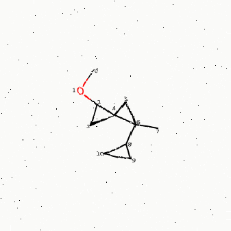 COC1C[C@]12CC2(C)C1CC1